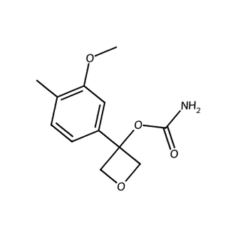 COc1cc(C2(OC(N)=O)COC2)ccc1C